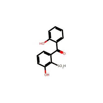 O=C(c1ccccc1O)c1cccc(O)c1S(=O)(=O)O